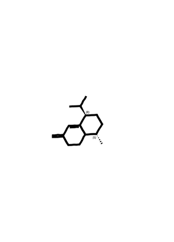 C=C1C=C2C(CC1)[C@@H](C)CC[C@@H]2C(C)C